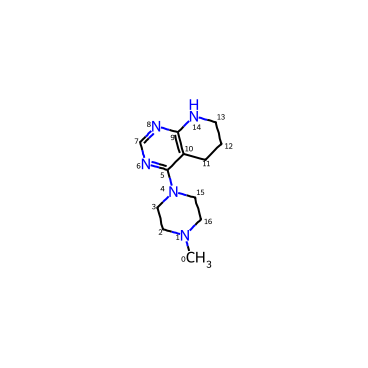 CN1CCN(c2ncnc3c2CCCN3)CC1